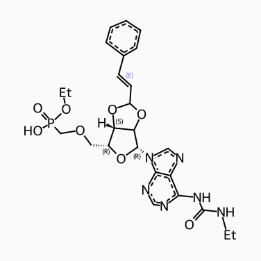 CCNC(=O)Nc1ncnc2c1ncn2[C@@H]1O[C@H](COCP(=O)(O)OCC)[C@@H]2OC(/C=C/c3ccccc3)OC21